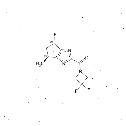 C[C@H]1C[C@H](F)c2nc(C(=O)N3CC(F)(F)C3)nn21